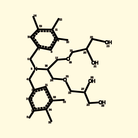 Cc1cc(CN(Cc2cc(C)c(C)c(C)c2)C(COCC(O)CO)COCC(O)CO)cc(C)c1C